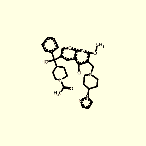 COc1nc2ccc(C(O)(c3ccccc3)C3CCN(C(C)=O)CC3)cc2c(Cl)c1CN1CCC(n2cccn2)CC1